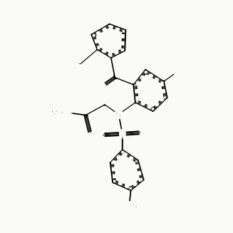 COC(=O)CN(c1ccc(Cl)cc1C(=O)c1ccccc1Cl)S(=O)(=O)c1ccc(C#N)cc1